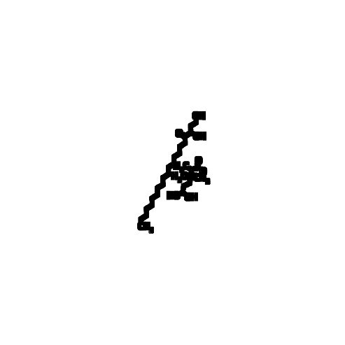 CC(P(=O)=O)[N+](C)(C)CCC(O)O.CCCCCCCCCCCCCCCCCC(=O)C(O)CCO